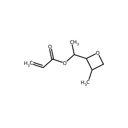 C=CC(=O)OC(C)C1OCC1C